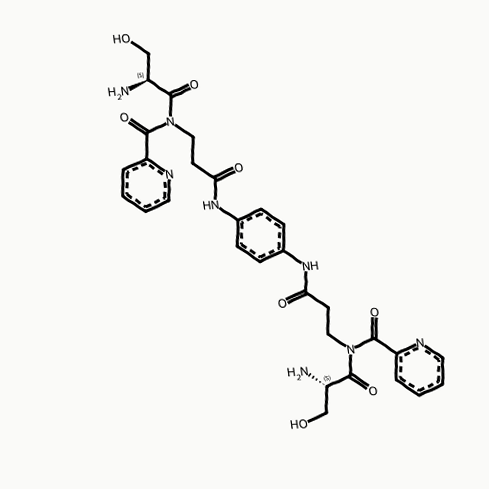 N[C@@H](CO)C(=O)N(CCC(=O)Nc1ccc(NC(=O)CCN(C(=O)c2ccccn2)C(=O)[C@@H](N)CO)cc1)C(=O)c1ccccn1